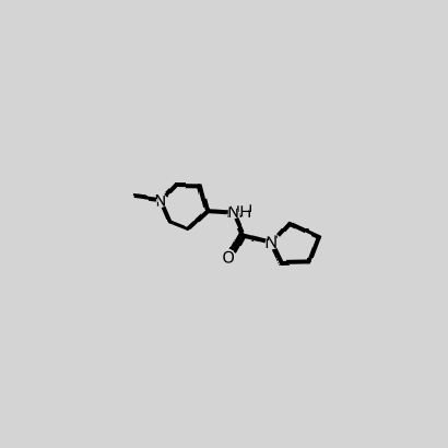 CN1CCC(NC(=O)N2CCCC2)CC1